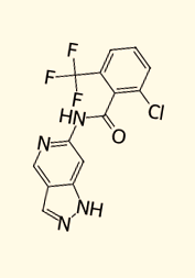 O=C(Nc1cc2[nH]ncc2cn1)c1c(Cl)cccc1C(F)(F)F